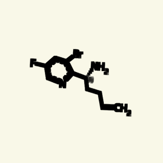 C=CCC[C@@H](N)c1ncc(F)cc1Br